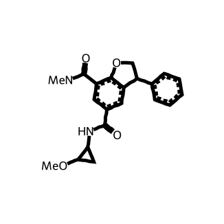 CNC(=O)c1cc(C(=O)NC2CC2OC)cc2c1OCC2c1ccccc1